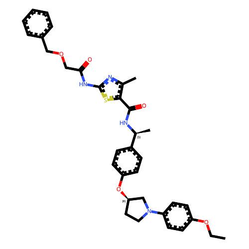 CCOc1ccc(N2CC[C@@H](Oc3ccc([C@H](C)NC(=O)c4sc(NC(=O)COCc5ccccc5)nc4C)cc3)C2)cc1